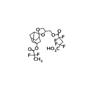 CC(F)(F)C(=O)OC12CC3CC(C1)C1(OCC(COC(=O)C(F)(F)CC(F)(F)C(=O)O)O1)C(C3)C2